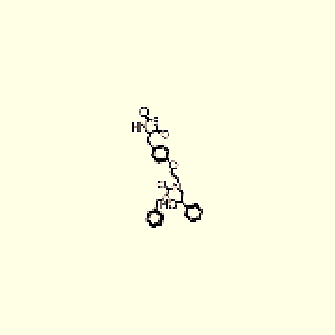 O=C1NC(Cc2ccc(OCCN(CC(O)c3ccccc3)C(=O)OCc3ccccc3)cc2)C(=O)S1